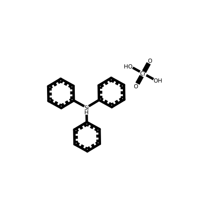 [O]=[Cr](=[O])([OH])[OH].c1ccc([SiH](c2ccccc2)c2ccccc2)cc1